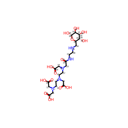 O=C(O)CN(CCN(CC(=O)O)CC(=O)O)CCN(CC(=O)O)CC(=O)NCCNCC1O[C@H](O)C(O)[C@@H](O)[C@@H]1O